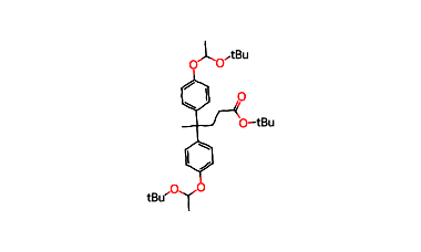 CC(Oc1ccc(C(C)(CCC(=O)OC(C)(C)C)c2ccc(OC(C)OC(C)(C)C)cc2)cc1)OC(C)(C)C